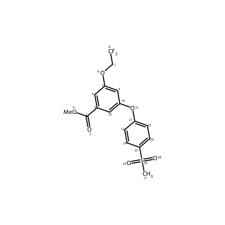 COC(=O)c1cc(OCC(F)(F)F)cc(Oc2ccc(S(C)(=O)=O)cc2)c1